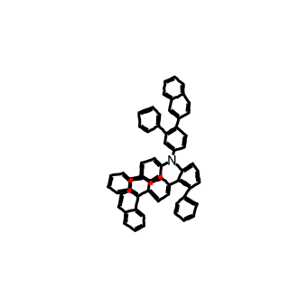 c1ccc(-c2ccc(N(c3ccc(-c4ccc5ccccc5c4)c(-c4ccccc4)c3)c3cccc(-c4ccccc4)c3-c3ccc4c(ccc5ccc6ccccc6c54)c3)cc2)cc1